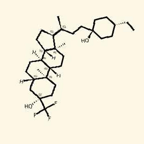 CC[C@H]1CC[C@@](O)(CC[C@H](C)[C@@H]2CC[C@H]3[C@@H]4CC[C@H]5C[C@](O)(C(F)(F)F)CC[C@]5(C)[C@H]4CC[C@@]32C)CC1